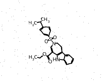 CCOC(=O)C1=CN(S(=O)(=O)c2ccc(C(C)C)cc2)CCc2c1[nH]c1ccccc21